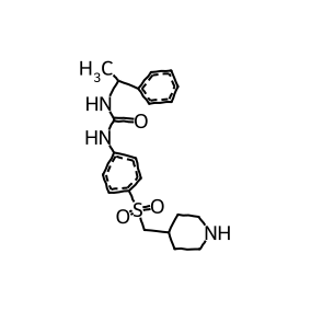 CC(NC(=O)Nc1ccc(S(=O)(=O)CC2CCNCC2)cc1)c1ccccc1